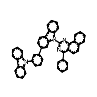 c1ccc(-c2nc(-n3c4ccccc4c4ccc(-c5cccc(-n6c7ccccc7c7ccccc76)c5)cc43)nc3c2ccc2ccccc23)cc1